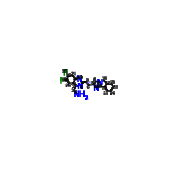 NCc1nc(/C=C/c2cn3c(n2)-c2ccccc2C3)nc2cc(F)c(F)cc12